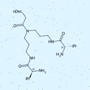 CCCCCCCCCCCC(=O)N(CCCNC(=O)[C@@H](N)C(C)C)CCCNC(=O)[C@@H](N)C(C)C